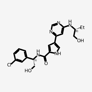 CC[C@H](CO)Nc1cc(-c2c[nH]c(C(=O)N[C@H](CO)c3cccc(Cl)c3)c2)ncn1